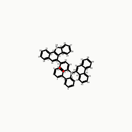 c1ccc(-c2ccccc2N(c2ccc(-c3cc4ccccc4c4sc5ccccc5c34)cc2)c2cc3ccccc3c3ccccc23)cc1